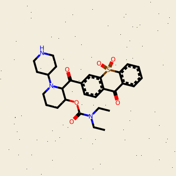 CCN(CC)C(=O)OC1CCCN(C2CCNCC2)C1C(=O)c1ccc2c(c1)S(=O)(=O)c1ccccc1C2=O